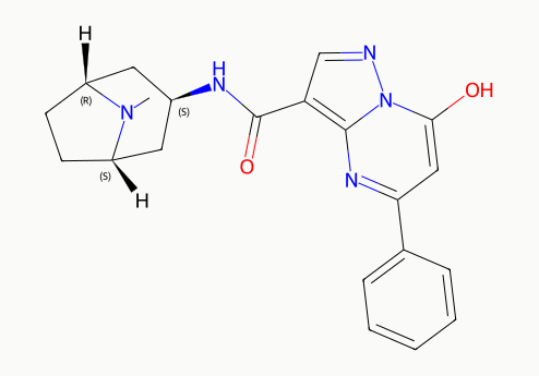 CN1[C@@H]2CC[C@H]1C[C@H](NC(=O)c1cnn3c(O)cc(-c4ccccc4)nc13)C2